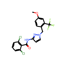 COc1ccc(Cn2ccc(NC(=O)c3c(Cl)cccc3Cl)n2)c(C(F)(F)F)c1